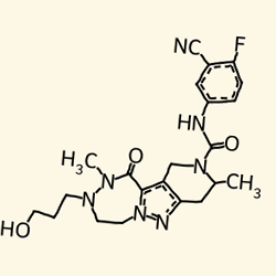 CC1Cc2nn3c(c2CN1C(=O)Nc1ccc(F)c(C#N)c1)C(=O)N(C)N(CCCO)CC3